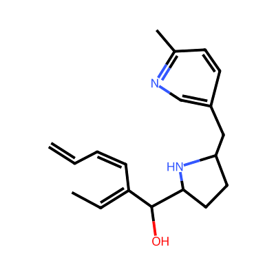 C=C/C=C\C(=C/C)C(O)C1CCC(Cc2ccc(C)nc2)N1